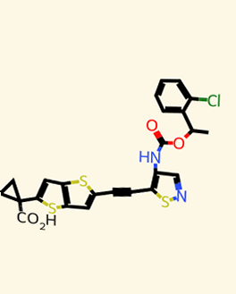 CC(OC(=O)Nc1cnsc1C#Cc1cc2sc(C3(C(=O)O)CC3)cc2s1)c1ccccc1Cl